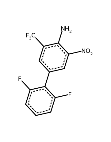 Nc1c([N+](=O)[O-])cc(-c2c(F)cccc2F)cc1C(F)(F)F